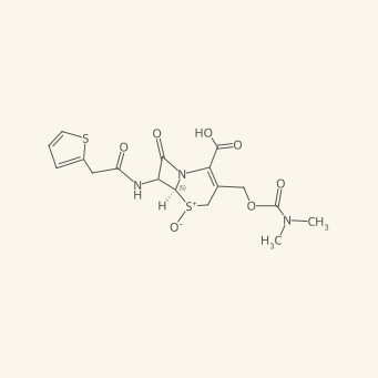 CN(C)C(=O)OCC1=C(C(=O)O)N2C(=O)C(NC(=O)Cc3cccs3)[C@@H]2[S+]([O-])C1